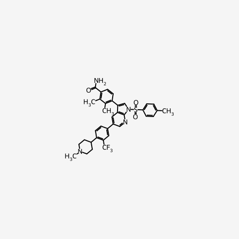 Cc1ccc(S(=O)(=O)n2cc(-c3ccc(C(N)=O)c(C)c3C)c3cc(-c4ccc(C5CCN(C)CC5)c(C(F)(F)F)c4)cnc32)cc1